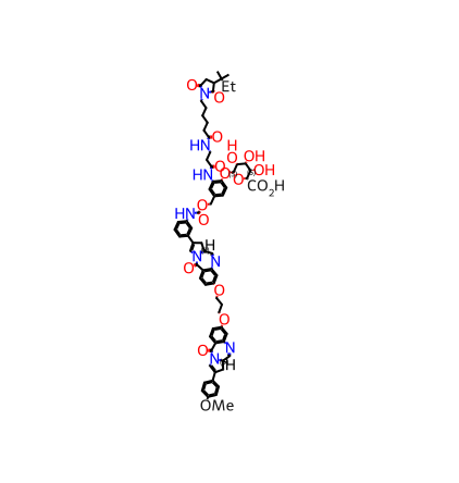 CCC(C)(C)C1CC(=O)N(CCCCCC(=O)NCCC(=O)Nc2cc(COC(=O)Nc3cccc(C4=CN5C(=O)c6ccc(OCCCOc7ccc8c(c7)N=C[C@@H]7CC(c9ccc(OC)cc9)=CN7C8=O)cc6N=C[C@@H]5C4)c3)ccc2O[C@@H]2OC(C(=O)O)[C@@H](O)C(O)C2O)C1=O